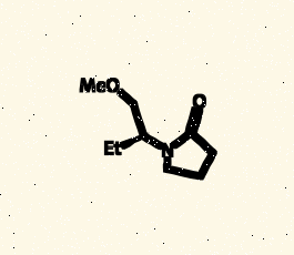 CC[C@@H](COC)N1CCCC1=O